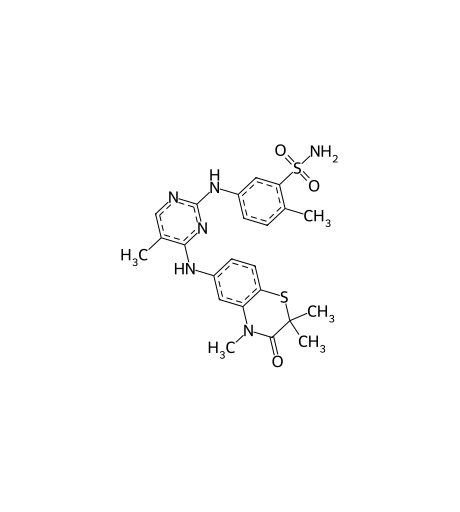 Cc1ccc(Nc2ncc(C)c(Nc3ccc4c(c3)N(C)C(=O)C(C)(C)S4)n2)cc1S(N)(=O)=O